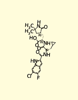 CC1(C)C[C@@H](C[C@H](NC(=O)[C@H](CC2CC2)NC(=O)c2cc3cc(F)c(Cl)cc3[nH]2)C(=O)O)C(=O)N1